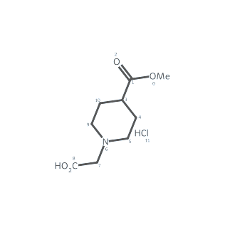 COC(=O)C1CCN(CC(=O)O)CC1.Cl